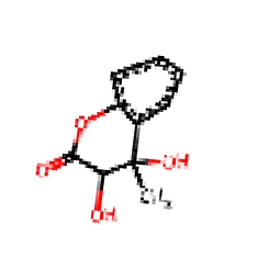 CC1(O)c2ccccc2OC(=O)C1O